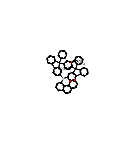 C/C=C\C(=C/C)C1(c2ccccc2)c2ccccc2-c2ccc(N(c3ccc4c(c3)C(c3ccccc3)(c3ccccc3)c3ccccc3-4)c3cccc4ccc5ccccc5c34)cc21